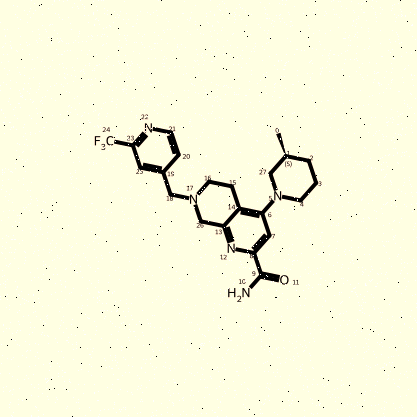 C[C@H]1CCCN(c2cc(C(N)=O)nc3c2CCN(Cc2ccnc(C(F)(F)F)c2)C3)C1